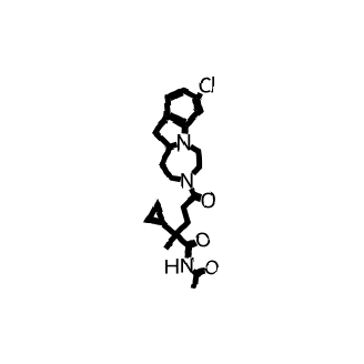 CC(=O)NC(=O)C(C)(CCC(=O)N1CCC2Cc3ccc(Cl)cc3N2CC1)C1CC1